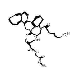 Cc1ccc2ccccc2c1CN1C(=O)[C@@H](NC(=O)[C@H](C)NCC(=O)OC(C)(C)C)CN(C(=O)CCCC(=O)O)c2ccccc21